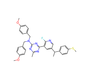 COc1ccc(CN(Cc2ccc(OC)cc2)c2nc(C)nc(-c3cc(C(C)c4ccc(SC)cc4)cnc3F)n2)cc1